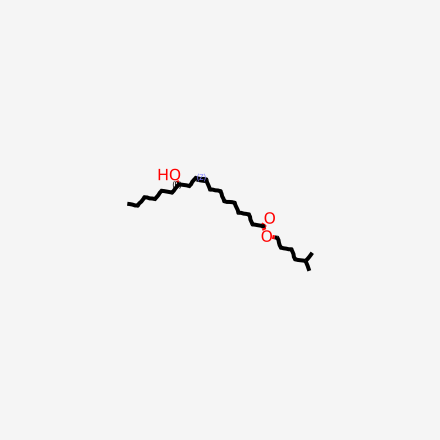 CCCCCC[C@@H](O)C/C=C\CCCCCCCC(=O)OCCCCC(C)C